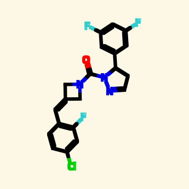 O=C(N1CC(=Cc2ccc(Cl)cc2F)C1)N1N=CCC1c1cc(F)cc(F)c1